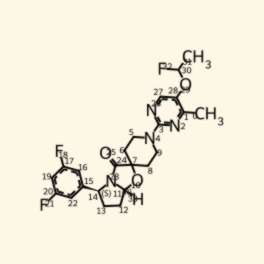 Cc1nc(N2CCC3(CC2)O[C@@H]2CC[C@@H](c4cc(F)cc(F)c4)N2C3=O)ncc1OC(C)F